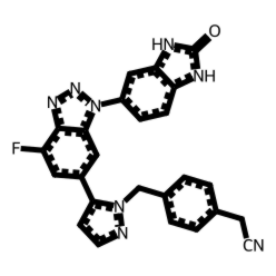 N#CCc1ccc(Cn2nccc2-c2cc(F)c3nnn(-c4ccc5[nH]c(=O)[nH]c5c4)c3c2)cc1